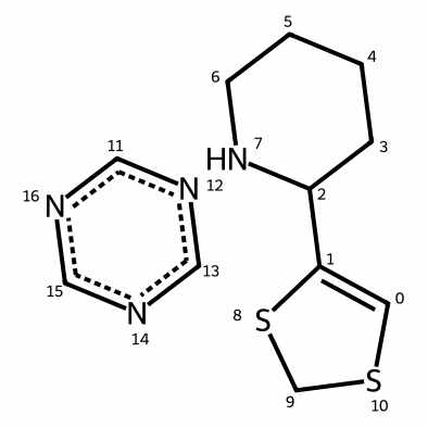 C1=C(C2CCCCN2)SCS1.c1ncncn1